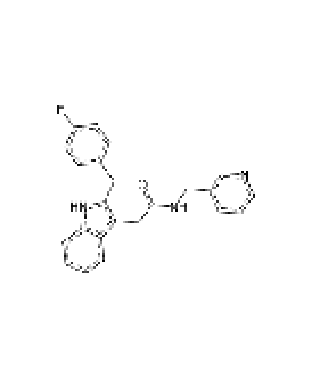 O=C(Cc1c(Cc2ccc(F)cc2)[nH]c2ccccc12)NCc1cccnc1